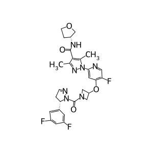 Cc1nn(-c2cc(OC3CN(C(=O)N4N=CC[C@H]4c4cc(F)cc(F)c4)C3)c(F)cn2)c(C)c1C(=O)N[C@@H]1CCOC1